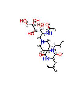 CCCN1C(=O)C(CC(C)C)NC(=O)C12CCN(C[C@H](NC(C)=O)[C@@H](O)[C@@H](O)[C@H](O)CO)CC2